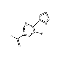 O=C(O)c1cnc(-n2ccnn2)c(F)c1